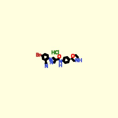 Cl.N#Cc1cc(Br)ccc1-n1cc(C(=O)Nc2ccc([C@H]3CNCCO3)cc2)cn1